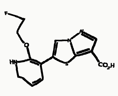 O=C(O)c1cnn2cc(C3=C(OCCF)NCC=C3)sc12